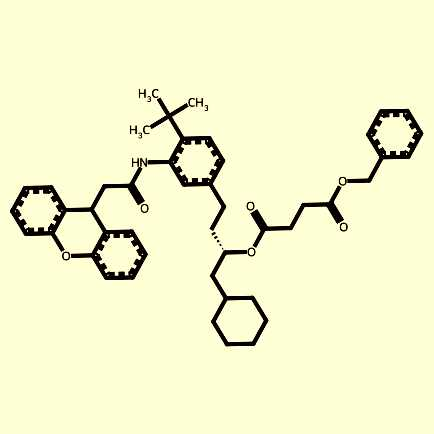 CC(C)(C)c1ccc(CC[C@@H](CC2CCCCC2)OC(=O)CCC(=O)OCc2ccccc2)cc1NC(=O)CC1c2ccccc2Oc2ccccc21